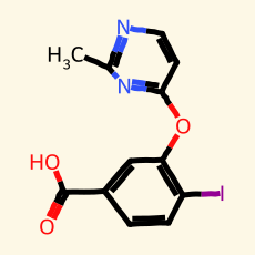 Cc1nccc(Oc2cc(C(=O)O)ccc2I)n1